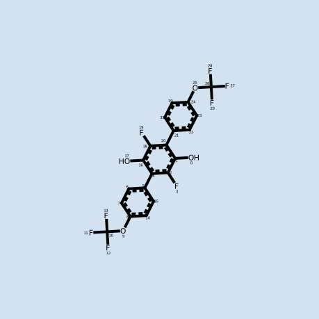 Oc1c(F)c(-c2ccc(OC(F)(F)F)cc2)c(O)c(F)c1-c1ccc(OC(F)(F)F)cc1